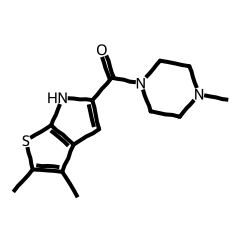 Cc1sc2[nH]c(C(=O)N3CCN(C)CC3)cc2c1C